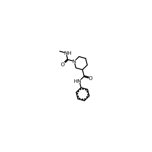 CNC(=O)N1CCCC(C(=O)Nc2ccccc2)C1